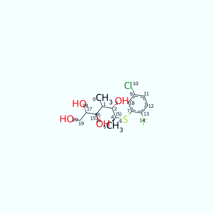 CC(C(O)[C@H](C)Sc1cc(Cl)ccc1F)[C@@H](O)C(O)CO